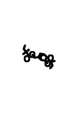 CCC1(C)OC2C3CC(COC(=O)C(C)(C)CC)C(C3)C2O1